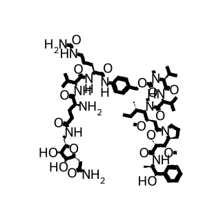 CC[C@H](C)[C@@H]([C@@H](CC(=O)N1CCC[C@H]1[C@H](OC)[C@@H](C)C(=O)N[C@H](C)[C@@H](O)c1ccccc1)OC)N(C)C(=O)[C@@H](NC(=O)[C@H](C(C)C)N(C)C(=O)OCc1ccc(NC(=O)[C@H](CCCNC(N)=O)NC(=O)[C@@H](NC(=O)[C@@H](N)CCC(=O)NC[C@@H]2O[C@H](CC(N)=O)[C@@H](O)[C@H]2O)C(C)C)cc1)C(C)C